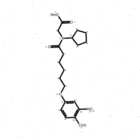 COC(=O)CN(C(=O)CCCCCOc1ccc(C=O)c([N+](=O)[O-])c1)C1CCCC1